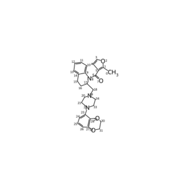 Cc1occc1C(=O)N1c2ccccc2CCC1CN1CCN(c2cccc3c2OCCO3)CC1